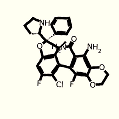 C[C@H]1c2c(cc(F)c(Cl)c2-c2c(F)c3c(c(N)c2C(N)=O)OCCO3)O[C@@]1(c1ccccc1)[C@@H]1CCCN1